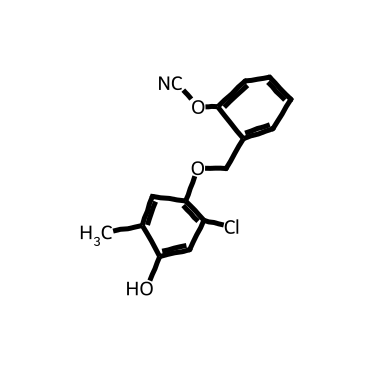 Cc1cc(OCc2ccccc2OC#N)c(Cl)cc1O